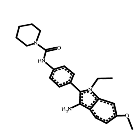 CCn1c(-c2ccc(NC(=O)N3CCCCC3)cc2)c(N)c2ccc(OC)cc21